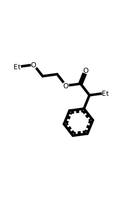 CCOCCOC(=O)C(CC)c1ccccc1